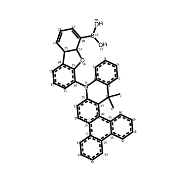 CC1(C)c2ccccc2N(c2cccc3c2OC2C(B(O)O)=CC=CC32)c2ccc3c4ccccc4c4ccccc4c3c21